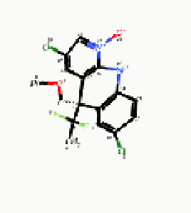 CC(C)OC[C@@]1(C(C)(F)F)c2cc(Cl)ccc2Nc2c1cc(Cl)c[n+]2[O-]